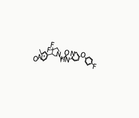 Cc1cc(C2CN(C(C)C(=O)Nc3ccc(Oc4ccc(F)cc4)cn3)CCC2(F)F)cc[n+]1[O-]